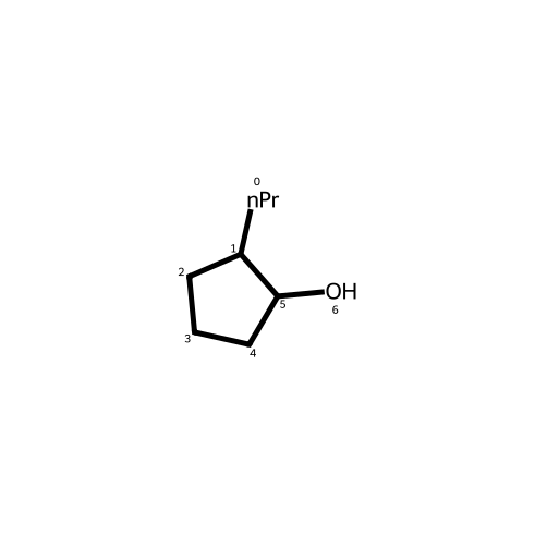 CCCC1CCCC1O